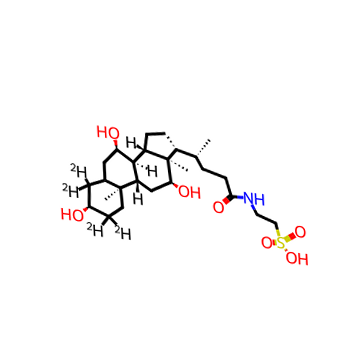 [2H]C1([2H])C[C@@]2(C)C(C[C@@H](O)[C@H]3[C@@H]4CC[C@H]([C@H](C)CCC(=O)NCCS(=O)(=O)O)[C@@]4(C)[C@@H](O)C[C@@H]32)C([2H])([2H])[C@@H]1O